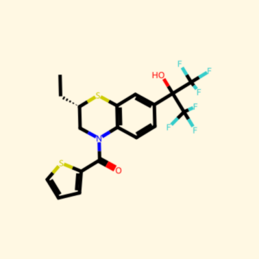 CC[C@H]1CN(C(=O)c2cccs2)c2ccc(C(O)(C(F)(F)F)C(F)(F)F)cc2S1